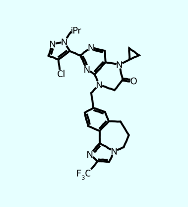 CC(C)n1ncc(Cl)c1-c1ncc2c(n1)N(Cc1ccc3c(c1)CCCn1cc(C(F)(F)F)nc1-3)CC(=O)N2C1CC1